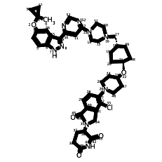 CC1(Oc2ccc3[nH]nc(-c4cc(N5CCN(C[C@H]6CC[C@H](OC7CCN(c8ccc9c(c8Cl)CN(C8CCC(=O)NC8=O)C9=O)CC7)CC6)CC5)ncn4)c3c2)CC1